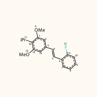 COc1cc(/C=C/c2ccccc2F)cc(OC)c1C(C)C